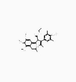 CCOC(=O)C1C(c2cc(C)c(O)c(C)c2)=C(C)N2C1=C1C=C(OC)C(OC)C(OC)=C1CC2C